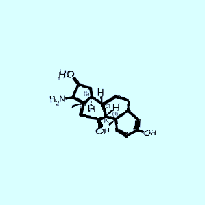 C[C@]12C=CC(O)=CC1CC[C@@H]1[C@H]2C(O)C[C@]2(C)C(N)C(O)C[C@@H]12